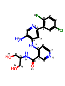 Nc1cnc(-c2cc(Cl)ccc2F)cc1Nc1ccncc1C(=O)NC(CO)CO